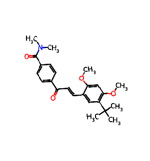 COc1cc(OC)c(C(C)(C)C)cc1C=CC(=O)c1ccc(C(=O)N(C)C)cc1